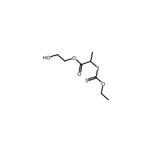 CCOC(=S)SC(C)C(=O)OCCO